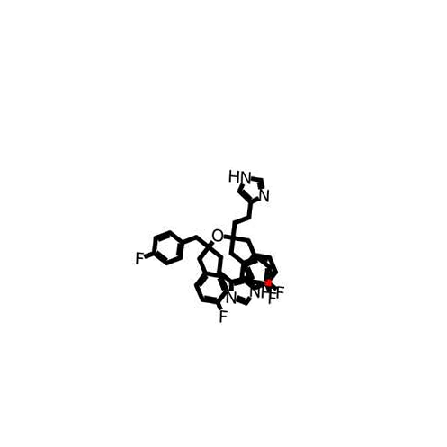 Fc1ccc(CC(CCc2c[nH]cn2)(Cc2ccc(F)cc2)OC(CCc2c[nH]cn2)(Cc2ccc(F)cc2)Cc2ccc(F)cc2)cc1